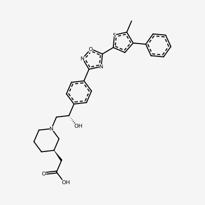 Cc1sc(-c2nc(-c3ccc([C@H](O)CN4CCC[C@H](CC(=O)O)C4)cc3)no2)cc1-c1ccccc1